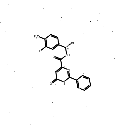 CC(C)(C)[C@@H](NC(=O)c1cc(=O)[nH]c(-c2ccccc2)n1)c1ccc(C(F)(F)F)c(F)c1